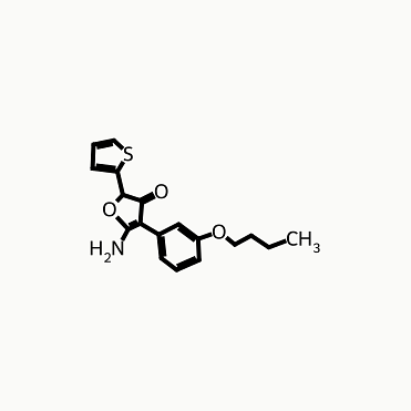 CCCCOc1cccc(C2=C(N)OC(c3cccs3)C2=O)c1